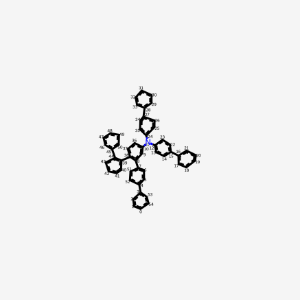 c1ccc(-c2ccc(-c3cc(N(c4ccc(-c5ccccc5)cc4)c4ccc(-c5ccccc5)cc4)ccc3-c3ccccc3-c3ccccc3)cc2)cc1